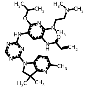 C=CC(=O)Nc1cc(Nc2ncnc(N3CC(C)(C)c4nc(C)ccc43)n2)c(OC(C)C)nc1N(C)CCN(C)C